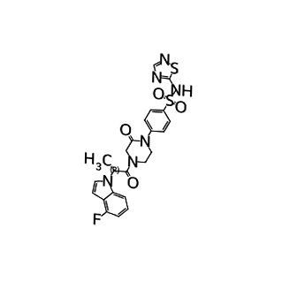 C[C@H](C(=O)N1CCN(c2ccc(S(=O)(=O)Nc3ncns3)cc2)C(=O)C1)n1ccc2c(F)cccc21